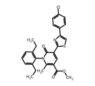 CCc1cccc(CC)c1-n1c(C)c(C(=O)OC)cc(-c2nc(-c3ccc(Cl)cc3)cs2)c1=O